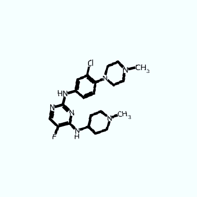 CN1CCC(Nc2nc(Nc3ccc(N4CCN(C)CC4)c(Cl)c3)ncc2F)CC1